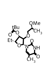 CC[C@H]1O[C@@H](n2cc(C)c(=O)[nH]c2=O)C(OC[C@H](C)OC)[C@H]1OC(=O)C(C)(C)C